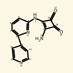 Nc1c(Nc2cccc(-c3ccncc3)n2)c(=O)c1=O